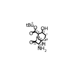 CC(C)(C)OC(=O)C1C(O)CS[C@H]2[C@H](N)C(=O)N12